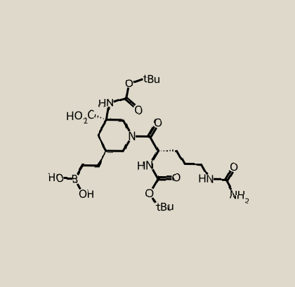 CC(C)(C)OC(=O)N[C@@H](CCCNC(N)=O)C(=O)N1C[C@@H](CCB(O)O)C[C@](NC(=O)OC(C)(C)C)(C(=O)O)C1